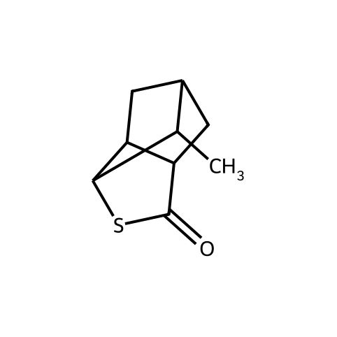 CC1C2CC3C(=O)SC1C3C2